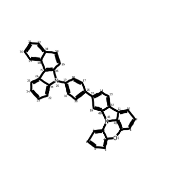 c1ccc2c(c1)Oc1cccc3c4ccc(-c5ccc(-n6c7ccccc7c7c8ccccc8ccc76)cc5)cc4n-2c13